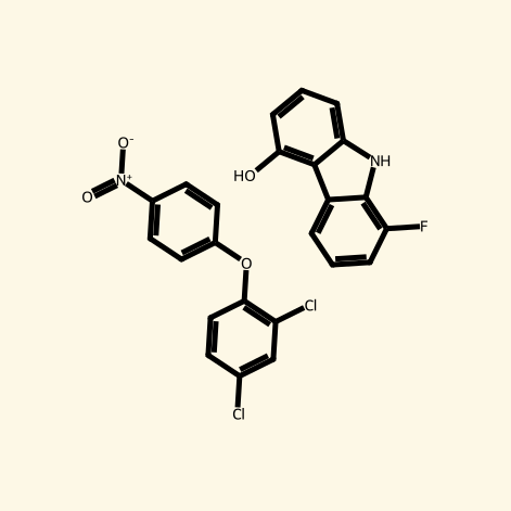 O=[N+]([O-])c1ccc(Oc2ccc(Cl)cc2Cl)cc1.Oc1cccc2[nH]c3c(F)cccc3c12